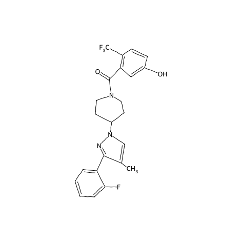 Cc1cn(C2CCN(C(=O)c3cc(O)ccc3C(F)(F)F)CC2)nc1-c1ccccc1F